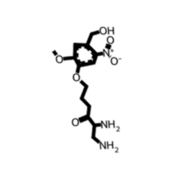 COc1cc(CO)c([N+](=O)[O-])cc1OCCCC(=O)C(N)CN